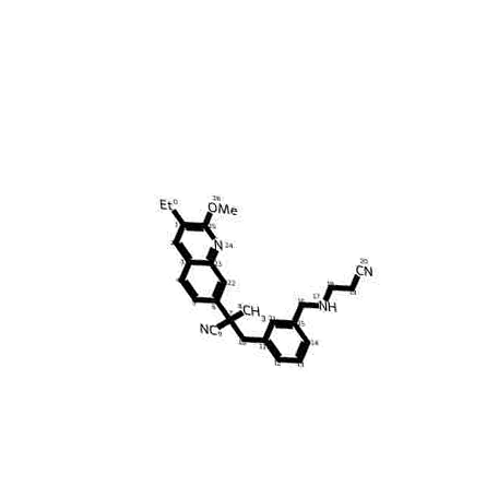 CCc1cc2ccc(C(C)(C#N)Cc3cccc(CNCCC#N)c3)cc2nc1OC